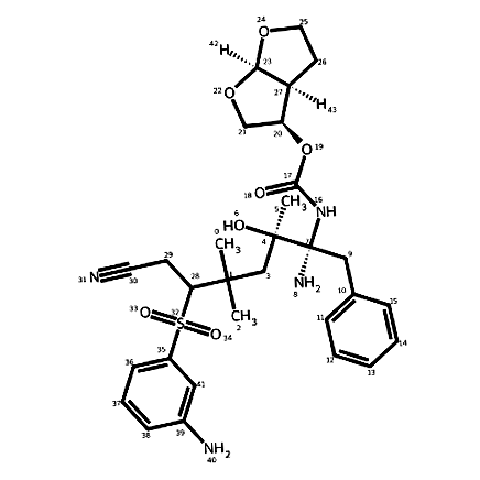 CC(C)(C[C@@](C)(O)[C@](N)(Cc1ccccc1)NC(=O)O[C@H]1CO[C@H]2OCC[C@H]21)C(CC#N)S(=O)(=O)c1cccc(N)c1